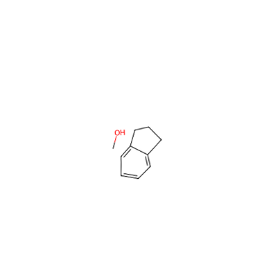 CO.c1ccc2c(c1)CCC2